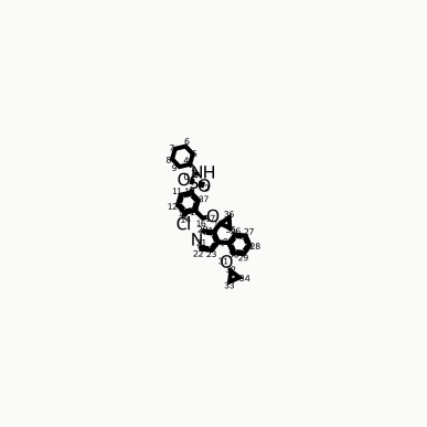 O=S(=O)(NC1CCCCC1)c1ccc(Cl)c(COC2(c3cnccc3-c3ccccc3OC3CC3)CC2)c1